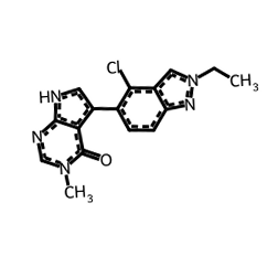 CCn1cc2c(Cl)c(-c3c[nH]c4ncn(C)c(=O)c34)ccc2n1